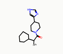 CCCC(C(=O)N1CCC(c2c[nH]cn2)CC1)C1CCCCC1